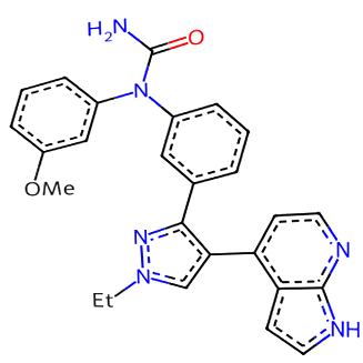 CCn1cc(-c2ccnc3[nH]ccc23)c(-c2cccc(N(C(N)=O)c3cccc(OC)c3)c2)n1